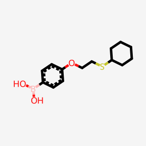 OB(O)c1ccc(OCCSC2CCCCC2)cc1